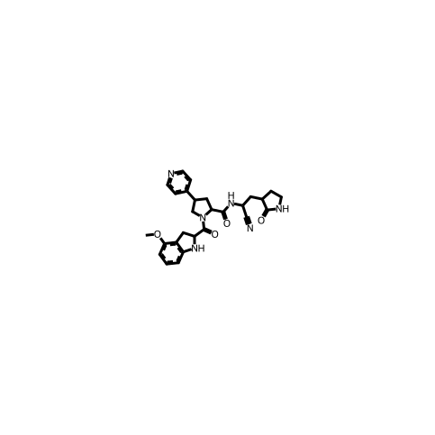 COc1cccc2c1CC(C(=O)N1CC(c3ccncc3)CC1C(=O)NC(C#N)CC1CCNC1=O)N2